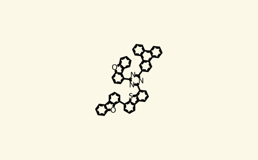 c1ccc2c(c1)oc1c(-c3cccc4c3sc3c(-c5nc(-c6ccc7c8ccccc8c8ccccc8c7c6)nc(-c6cccc7oc8ccccc8c67)n5)cccc34)cccc12